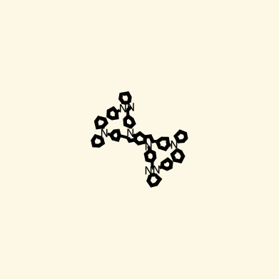 c1ccc(N(c2ccccc2)c2ccc(-c3cc4cc5c(cc(-c6ccc(N(c7ccccc7)c7ccccc7)cc6)n5-c5ccc(-c6nc7ccccc7n6-c6ccccc6)cc5)cc4n3-c3ccc(-c4nc5ccccc5n4-c4ccccc4)cc3)cc2)cc1